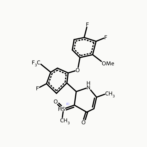 COc1c(Oc2cc(C(F)(F)F)c(F)cc2C2NC(C)=CC(=O)/C2=[SH](\C)=O)ccc(F)c1F